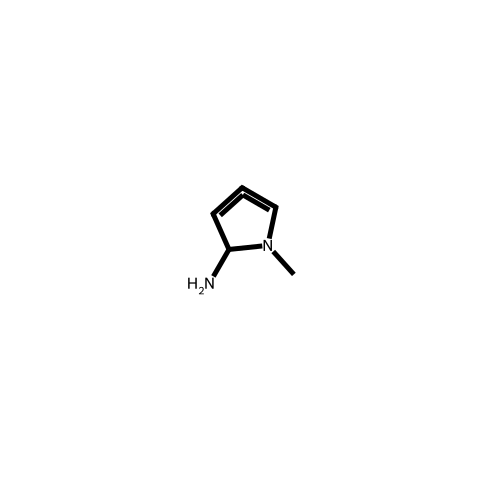 CN1C=C=CC1N